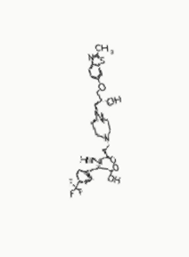 Cc1nc2ccc(OC[C@H](O)CN3CCN(CCC(=O)N[C@H](C(=O)O)c4ccc(C(F)(F)F)cc4)CC3)cc2s1